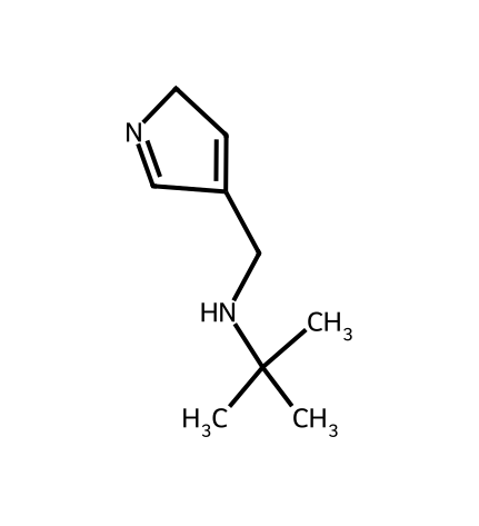 CC(C)(C)NCC1=CCN=C1